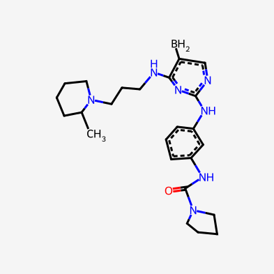 Bc1cnc(Nc2cccc(NC(=O)N3CCCC3)c2)nc1NCCCN1CCCCC1C